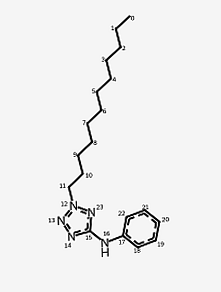 CCCCCCCCCCCCn1nnc(Nc2ccccc2)n1